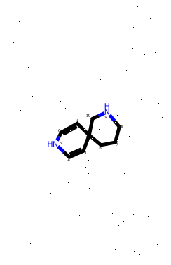 C1=CC2(C=CN1)CCCNC2